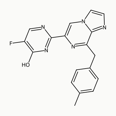 Cc1ccc(Cc2nc(-c3ncc(F)c(O)n3)cn3ccnc23)cc1